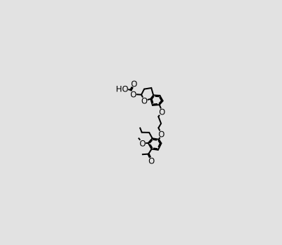 CCCc1c(OCCCOc2ccc3c(c2)OC(OC(=O)O)CC3)ccc(C(C)=O)c1OC